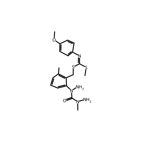 COc1ccc(/N=C(/SC)SCc2c(C)cccc2N(N)C(=O)N(C)N)cc1